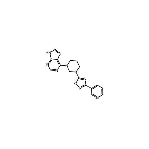 c1cncc(-c2noc(C3CCCN(c4ncnc5[nH]cnc45)C3)n2)c1